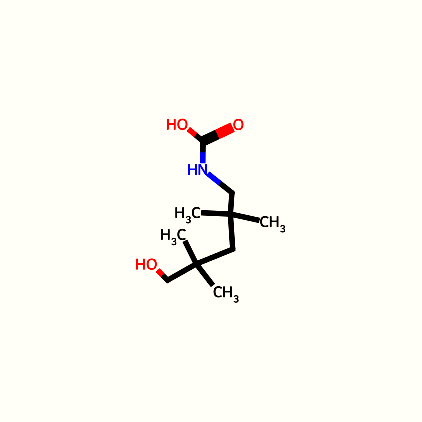 CC(C)(CO)CC(C)(C)CNC(=O)O